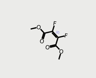 COC(=O)/C(F)=C(/F)C(=O)OC